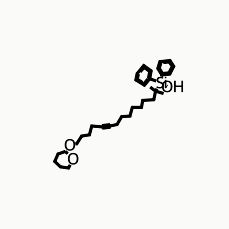 CC(C)(CCCCCCCC#CCCCCOC1CCCCO1)[Si](O)(c1ccccc1)c1ccccc1